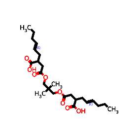 CCC/C=C/CC(CC(=O)OCC(C)(C)COC(=O)CC(C/C=C/CCC)C(=O)O)C(=O)O